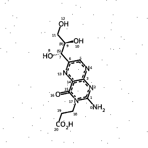 Nc1nc2ncc([C@H](O)[C@H](O)CO)nc2c(=O)n1CCC(=O)O